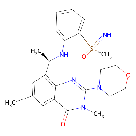 Cc1cc([C@@H](C)Nc2ccccc2[S@@](C)(=N)=O)c2nc(N3CCOCC3)n(C)c(=O)c2c1